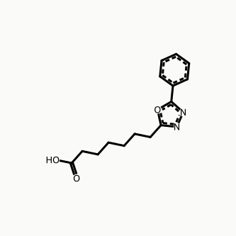 O=C(O)CCCCCCc1nnc(-c2ccccc2)o1